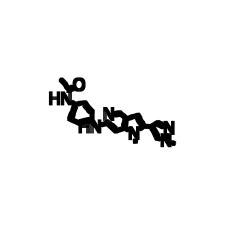 CC(=O)Nc1ccc(Nc2cc3c(cn2)cc(-c2cnn(C)c2)n3C)cc1